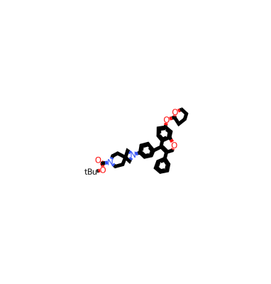 CC(C)(C)OC(=O)N1CCC2(CC1)CN(c1ccc(C3=C(c4ccccc4)COc4cc(OC5CCCCO5)ccc43)cc1)C2